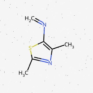 C=Nc1sc(C)nc1C